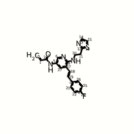 C=CC(=O)Nc1cnc(NCCc2nccs2)c(C=Cc2ccc(F)cc2)c1